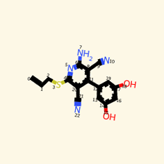 C=CCSc1nc(N)c(C#N)c(-c2cc(O)cc(O)c2)c1C#N